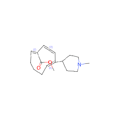 COC(=O)C1=C\CCC/C=C(C2CCN(C)CC2)/C=C\1